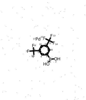 OB(O)c1cc(C(F)(F)F)cc(C(F)(F)F)c1.[Pd]